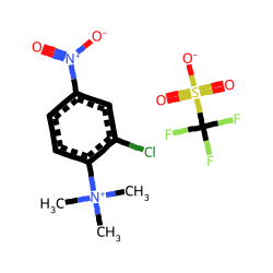 C[N+](C)(C)c1ccc([N+](=O)[O-])cc1Cl.O=S(=O)([O-])C(F)(F)F